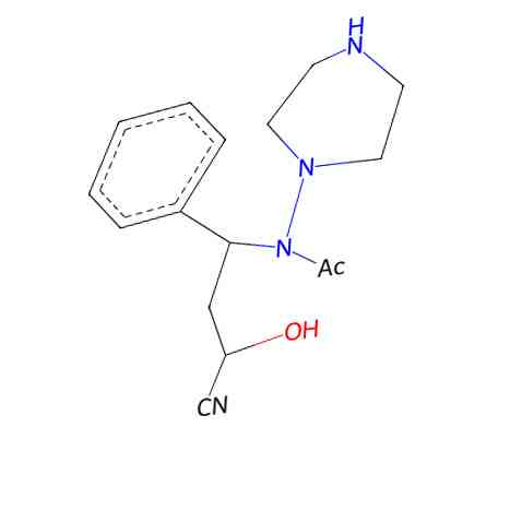 CC(=O)N(C(CC(O)C#N)c1ccccc1)N1CCNCC1